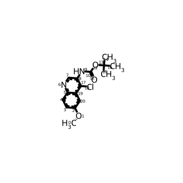 COc1ccc2ncc(NC(=O)OC(C)(C)C)c(Cl)c2c1